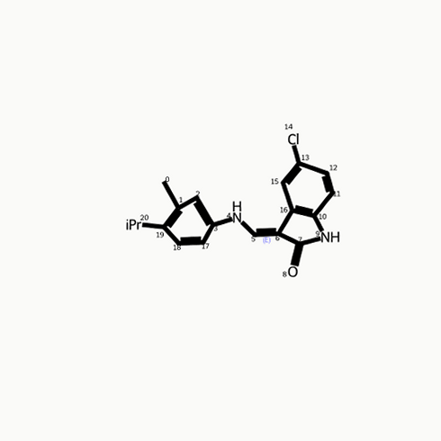 Cc1cc(N/C=C2/C(=O)Nc3ccc(Cl)cc32)ccc1C(C)C